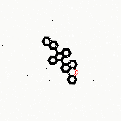 c1ccc2c(c1)Oc1cccc3c(-c4c5ccccc5c(-c5ccc6ccccc6c5)c5ccccc45)ccc-2c13